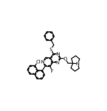 Fc1c(-c2cccc3cccc(Cl)c23)ncc2c(SCc3ccccc3)nc(OCC34CCCN3CCC4)nc12